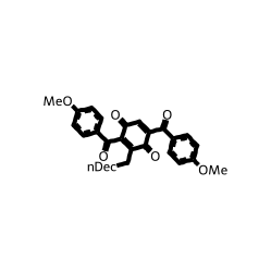 CCCCCCCCCCCC1=C(C(=O)c2ccc(OC)cc2)C(=O)C=C(C(=O)c2ccc(OC)cc2)C1=O